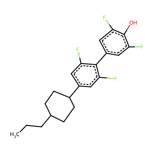 CCCC1CCC(c2cc(F)c(-c3cc(F)c(O)c(F)c3)c(F)c2)CC1